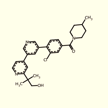 CC1CCN(C(=O)c2ccc(-c3cncc(-c4ccnc(C(C)(C)CO)c4)c3)c(Cl)c2)CC1